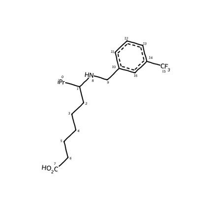 CC(C)C(CCCCCC(=O)O)NCc1cccc(C(F)(F)F)c1